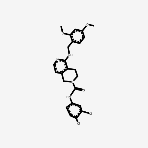 COc1ccc(CNc2nccc3c2CCN(C(=O)Nc2ccc(Cl)c(Cl)c2)C3)c(OC)c1